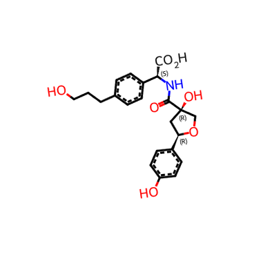 O=C(O)[C@@H](NC(=O)[C@]1(O)CO[C@@H](c2ccc(O)cc2)C1)c1ccc(CCCO)cc1